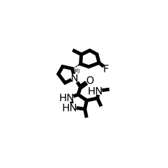 CNC(C)C1C(C)NNC1C(=O)N1CCC[C@@H]1C1CC(F)CCC1C